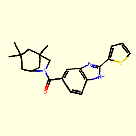 CC1(C)CC2CC(C)(CN2C(=O)c2ccc3[nH]c(-c4cccs4)nc3c2)C1